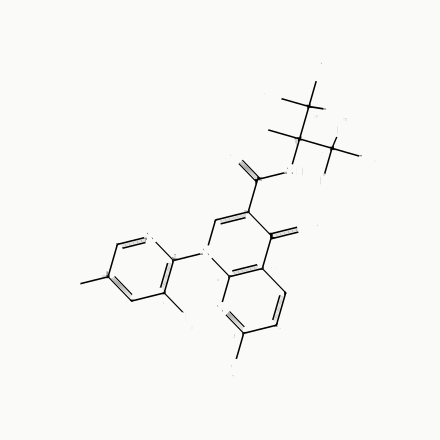 CC(NC(=O)c1cn(-c2ncc(F)cc2F)c2nc(Cl)ccc2c1=O)(C(F)(F)F)C(F)(F)F